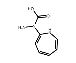 NN(C(=O)O)C1=CC=CC=CN1